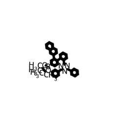 CC1(C)OB(c2ccc(-c3ccccc3-c3nc(-c4ccccc4)nc(-c4ccccc4)n3)c(-c3ccc4ccccc4c3)c2)OC1(C)C